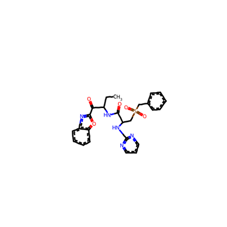 CCC(NC(=O)C(CS(=O)(=O)Cc1ccccc1)Nc1ncccn1)C(=O)c1nc2ccccc2o1